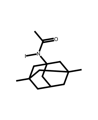 CC(=O)N(I)C12CC3CC(C)(CC(C)(C3)C1)C2